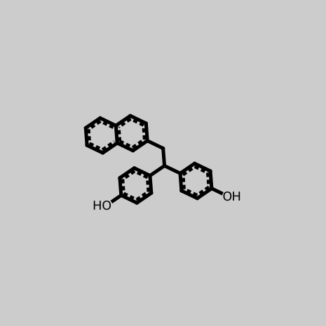 Oc1ccc(C(Cc2ccc3ccccc3c2)c2ccc(O)cc2)cc1